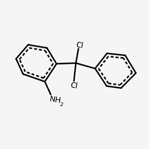 Nc1ccccc1C(Cl)(Cl)c1ccccc1